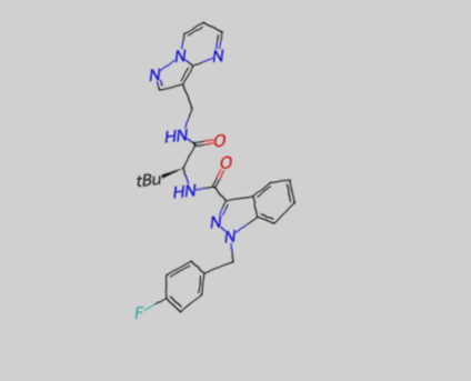 CC(C)(C)[C@H](NC(=O)c1nn(Cc2ccc(F)cc2)c2ccccc12)C(=O)NCc1cnn2cccnc12